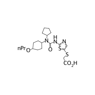 CCCOC1CCC(N(C(=O)Nc2ncc(SCC(=O)O)s2)C2CCCC2)CC1